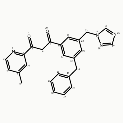 Cc1ccnc(C(=O)CC(=O)c2cc(Cc3ccccc3)cc(Cn3cncn3)c2)c1